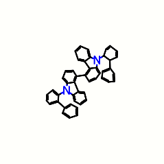 C1=CC(c2ccccc2)C(n2c3ccccc3c3c(-c4cccc5c4c4ccccc4n5-c4ccccc4-c4ccccc4)cccc32)C=C1